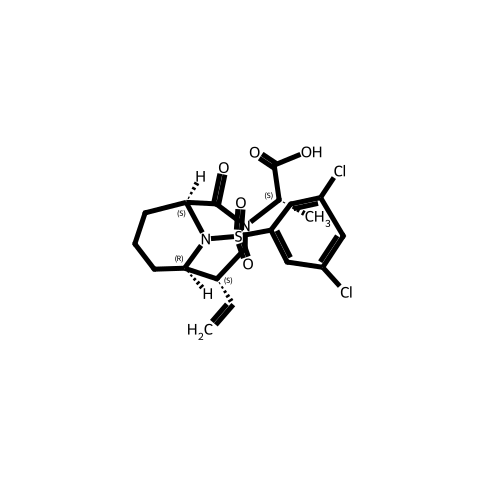 C=C[C@H]1CN([C@@H](C)C(=O)O)C(=O)[C@@H]2CCC[C@H]1N2S(=O)(=O)c1cc(Cl)cc(Cl)c1